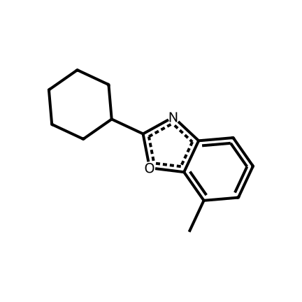 CC1=c2oc(C3CCCCC3)nc2=C=C=C1